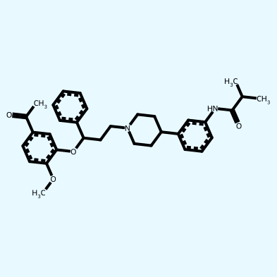 COc1ccc(C(C)=O)cc1OC(CCN1CCC(c2cccc(NC(=O)C(C)C)c2)CC1)c1ccccc1